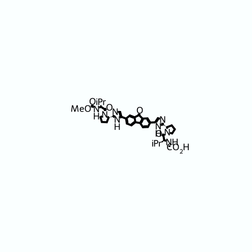 COC(=O)N[C@H](C(=O)N1CCC[C@H]1c1ncc(-c2ccc3c(c2)C(=O)c2cc(-c4cnc([C@@H]5CCCN5C(=O)[C@@H](NC(=O)O)C(C)C)[nH]4)ccc2-3)[nH]1)C(C)C